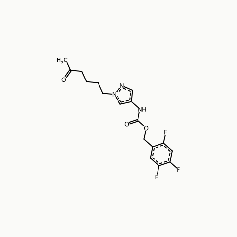 CC(=O)CCCCn1cc(NC(=O)OCc2cc(F)c(F)cc2F)cn1